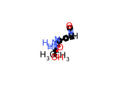 CC(C)(O)C12CC(NC(=O)c3cc(-c4ccc([C@@]56CC[C@@H]5CN(C5CCOCC5)C6)cc4)cnc3N)(C1)C2